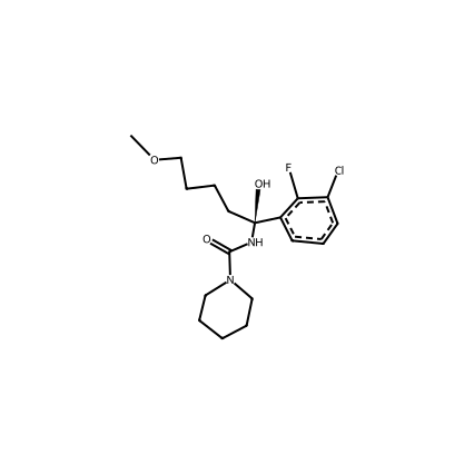 COCCCC[C@@](O)(NC(=O)N1CCCCC1)c1cccc(Cl)c1F